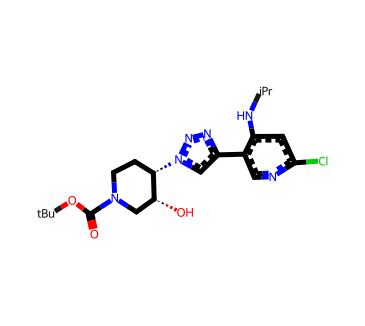 CC(C)Nc1cc(Cl)ncc1-c1cn([C@H]2CCN(C(=O)OC(C)(C)C)C[C@H]2O)nn1